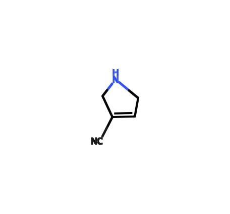 N#CC1=CCNC1